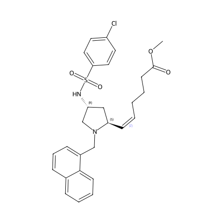 COC(=O)CCC/C=C\[C@@H]1C[C@@H](NS(=O)(=O)c2ccc(Cl)cc2)CN1Cc1cccc2ccccc12